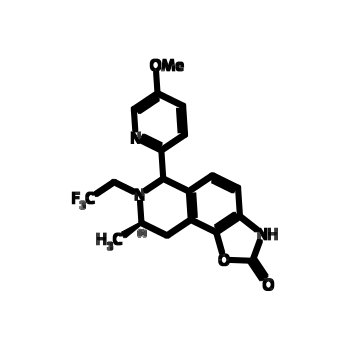 COc1ccc(C2c3ccc4[nH]c(=O)oc4c3C[C@@H](C)N2CC(F)(F)F)nc1